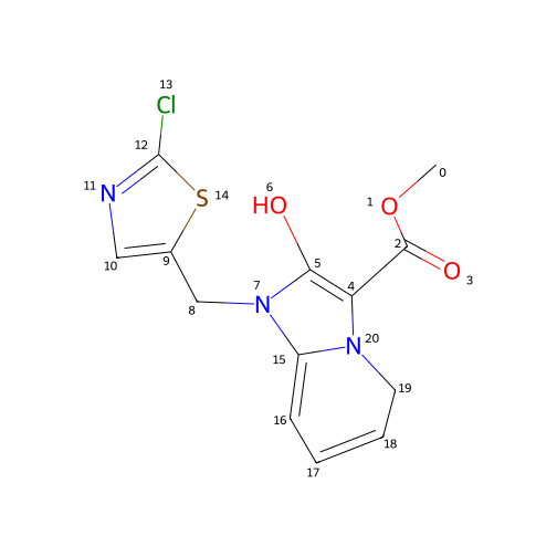 COC(=O)C1=C(O)N(Cc2cnc(Cl)s2)C2=CC=CCN21